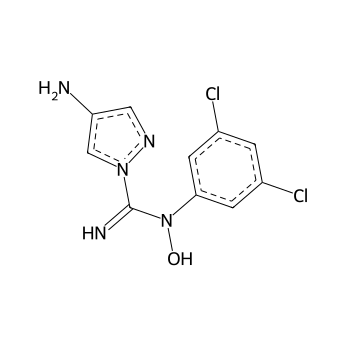 N=C(N(O)c1cc(Cl)cc(Cl)c1)n1cc(N)cn1